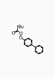 CC(C)(C)C(=O)OOc1ccc(-c2ccccc2)cc1